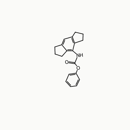 O=C(Nc1c2c(cc3c1CCC3)CCC2)Oc1ccccc1